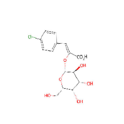 O=C(O)C(=Cc1ccc(Cl)cc1)O[C@H]1O[C@@H](CO)[C@@H](O)[C@@H](O)[C@@H]1O